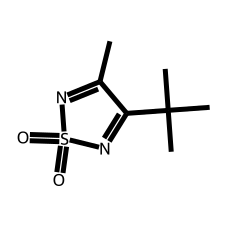 CC1=NS(=O)(=O)N=C1C(C)(C)C